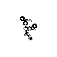 CC(C)(C)OC(=O)NC(C)(C)C(=O)N[C@H](Cc1c[nH]c2ccccc12)C(=O)N1CCC(C(N)=O)(c2ccccc2)CC1